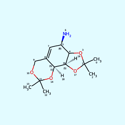 CC1(C)OC2[C@H](N)C=C3COC(C)(C)O[C@@H]3[C@@H]2O1